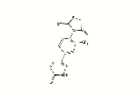 O=C1CSC(=S)N1c1ccc(-c2ccc(=O)[nH]n2)cc1C(F)(F)F